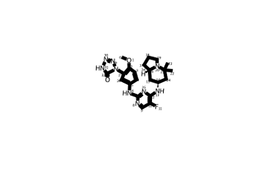 COc1ccc(Nc2ncc(F)c(N[C@@H]3C[C@@H]4CCCN4C(C)(C)C3)n2)cc1-n1nn[nH]c1=O